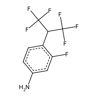 Nc1ccc(C(C(F)(F)F)C(F)(F)F)c(F)c1